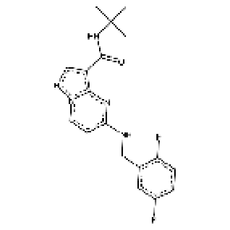 CC(C)(C)NC(=O)c1cnn2ccc(NCc3cc(F)ccc3F)nc12